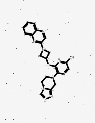 N#Cc1cnc(N2CCn3cnnc3C2)c(OC2CN(c3cnc4ccccc4n3)C2)n1